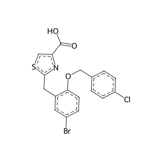 O=C(O)c1csc(Cc2cc(Br)ccc2OCc2ccc(Cl)cc2)n1